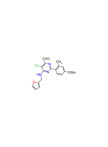 COc1ccc(-c2nc(C=O)c(Cl)c(NCc3ccco3)n2)c(C)c1